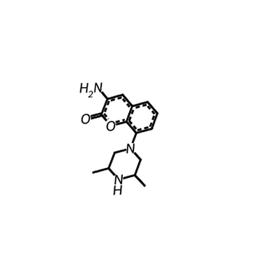 CC1CN(c2cccc3cc(N)c(=O)oc23)CC(C)N1